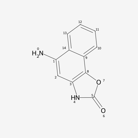 Nc1cc2[nH]c(=O)oc2c2ccccc12